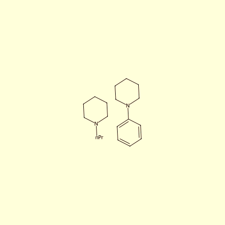 CCCN1CCCCC1.c1ccc(N2CCCCC2)cc1